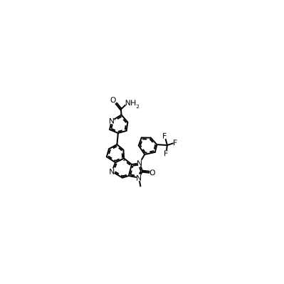 Cn1c(=O)n(-c2cccc(C(F)(F)F)c2)c2c3cc(-c4ccc(C(N)=O)nc4)ccc3ncc21